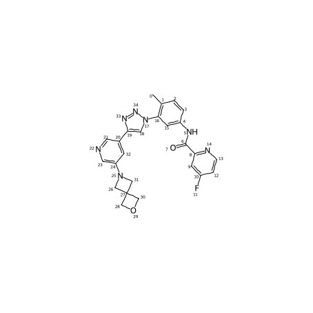 Cc1ccc(NC(=O)c2cc(F)ccn2)cc1-n1cc(-c2cncc(N3CC4(COC4)C3)c2)nn1